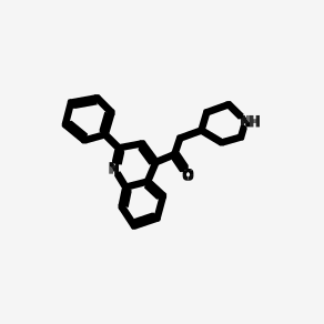 O=C(CC1CCNCC1)c1cc(-c2ccccc2)nc2ccccc12